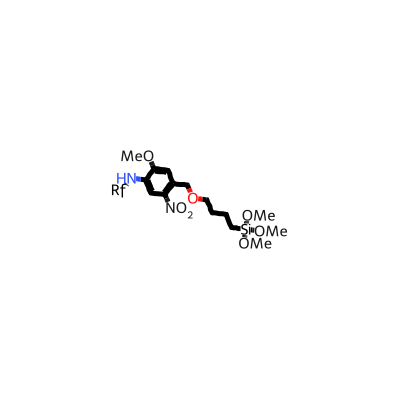 COc1cc(COCCCC[Si](OC)(OC)OC)c([N+](=O)[O-])cc1[NH][Rf]